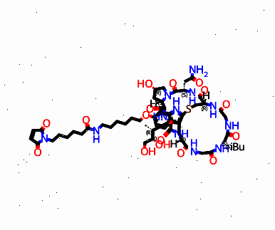 CC[C@H](C)[C@@H]1NC(=O)CNC(=O)[C@H]2Cc3c([nH]c4cc(OCCCCCCNC(=O)CCCCCN5C(=O)C=CC5=O)ccc34)SC[C@H](NC(=O)CNC1=O)C(=O)N[C@@H](CC(N)=O)C(=O)N1C[C@H](O)C[C@H]1C(=O)N[C@@H]([C@@H](C)[C@@H](O)CO)C(=O)N2